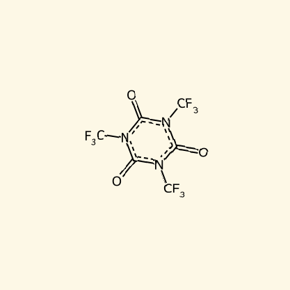 O=c1n(C(F)(F)F)c(=O)n(C(F)(F)F)c(=O)n1C(F)(F)F